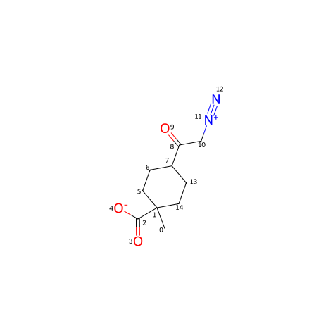 CC1(C(=O)[O-])CCC(C(=O)C[N+]#N)CC1